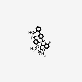 COC(=O)CC1c2cccc(F)c2N=C(c2ccc(-c3ccccc3CO)cc2)N1c1cc(C(F)(F)F)ccc1OC